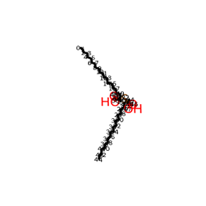 CCCCCCCCCCCCCCCCCCCCC(C)(SC(C)(CCCCCCCCCCCCCCCCCCCC)C(=O)O)C(=O)O